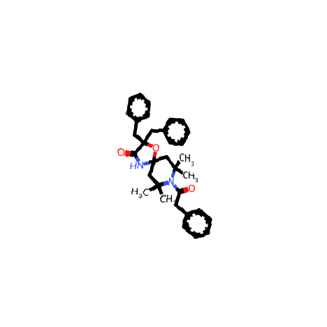 CC1(C)CC2(CC(C)(C)N1C(=O)Cc1ccccc1)NC(=O)C(Cc1ccccc1)(Cc1ccccc1)O2